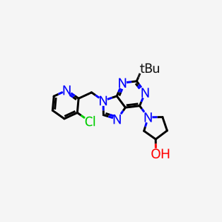 CC(C)(C)c1nc(N2CCC(O)C2)c2ncn(Cc3ncccc3Cl)c2n1